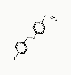 CSc1ccc(N=Cc2ccc(F)cc2)cc1